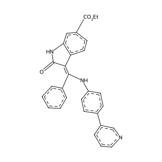 CCOC(=O)c1ccc2c(c1)NC(=O)C2=C(Nc1ccc(-c2cccnc2)cc1)c1ccccc1